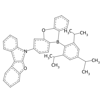 CC(C)c1cc(C(C)C)c(B2c3ccccc3Oc3cc(-n4c5ccccc5c5c6ccccc6oc54)ccc32)c(C(C)C)c1